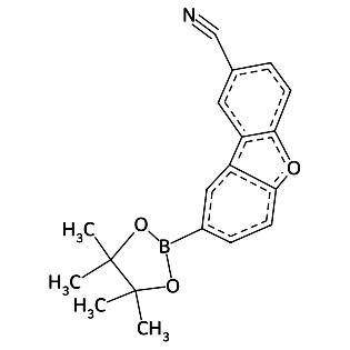 CC1(C)OB(c2ccc3oc4ccc(C#N)cc4c3c2)OC1(C)C